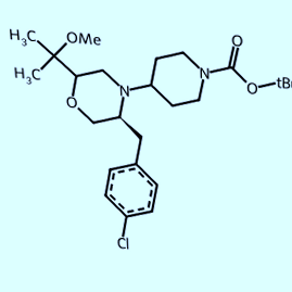 COC(C)(C)C1CN(C2CCN(C(=O)OC(C)(C)C)CC2)[C@@H](Cc2ccc(Cl)cc2)CO1